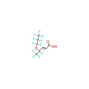 O=C(O)/C=C/C(F)(OC(F)(F)C(F)(F)C(F)(F)F)C(F)(F)F